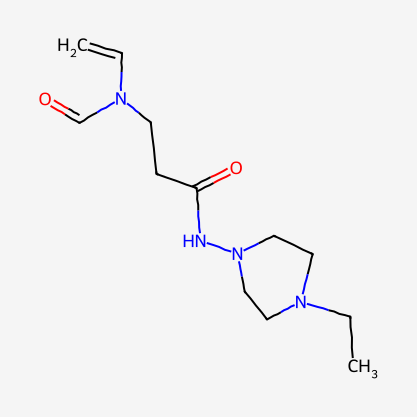 C=CN(C=O)CCC(=O)NN1CCN(CC)CC1